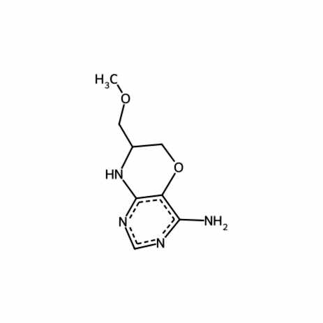 COCC1COc2c(N)ncnc2N1